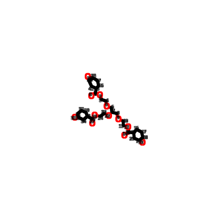 O=C(OCCOCC(COCCOC(=O)C1CCC2OC2C1)OCCOC(=O)C1CCC2OC2C1)C1CCC2OC2C1